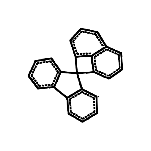 [c]1cccc2c1C1(c3ccccc3-2)c2cccc3cccc1c23